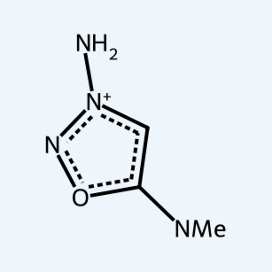 CNc1c[n+](N)no1